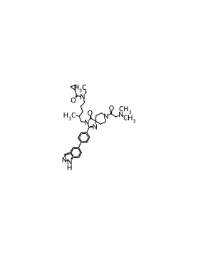 CCN(CCC[C@H](C)CN1C(=O)C2(CCN(C(=O)CN(C)C)CC2)N=C1c1ccc(-c2ccc3[nH]ncc3c2)cc1)C(=O)C1CC1